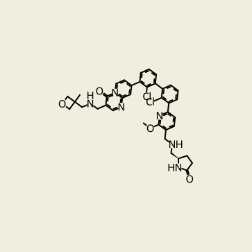 COc1nc(-c2cccc(-c3cccc(-c4ccn5c(=O)c(CNCC6(C)COC6)cnc5c4)c3Cl)c2Cl)ccc1CNC[C@H]1CCC(=O)N1